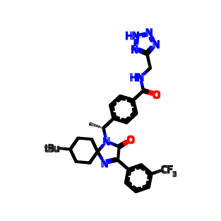 C[C@H](c1ccc(C(=O)NCc2nn[nH]n2)cc1)N1C(=O)C(c2cccc(C(F)(F)F)c2)=NC12CCC(C(C)(C)C)CC2